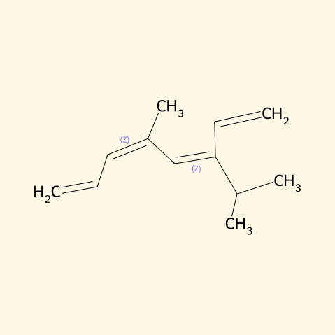 C=C/C=C(C)\C=C(/C=C)C(C)C